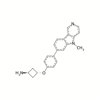 Cn1c2ccncc2c2ccc(-c3ccc(O[C@H]4C[C@H](N)C4)cc3)cc21